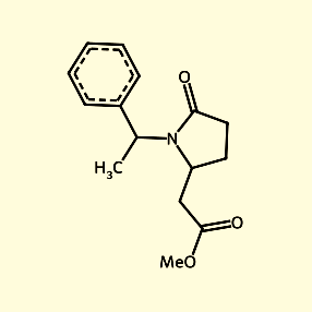 COC(=O)CC1CCC(=O)N1C(C)c1ccccc1